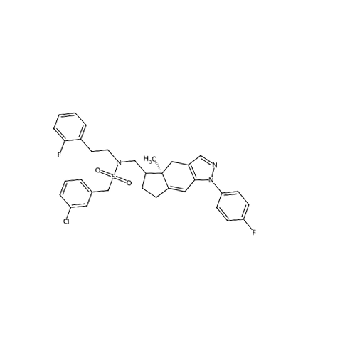 C[C@]12Cc3cnn(-c4ccc(F)cc4)c3C=C1CCC2CN(CCc1ccccc1F)S(=O)(=O)Cc1cccc(Cl)c1